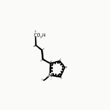 Cn1cccc1CCCC(=O)O